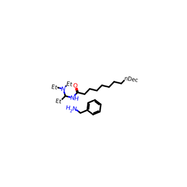 CCCCCCCCCCCCCCCCCC(=O)NC(CC)N(CC)CC.NCc1ccccc1